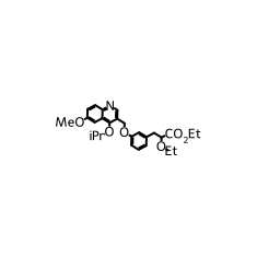 CCOC(=O)C(Cc1cccc(OCc2cnc3ccc(OC)cc3c2OC(C)C)c1)OCC